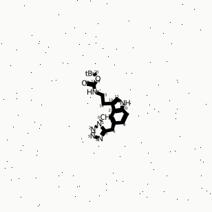 Cn1nnnc1Cc1ccc2[nH]cc(CCNC(=O)OC(C)(C)C)c2c1